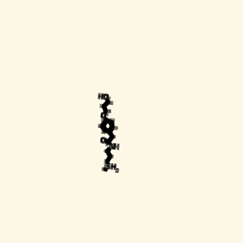 C[SiH2]CCCNC(=O)Cc1ccc(OCCCO)cc1